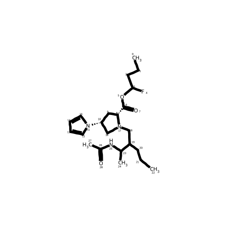 CCCC(F)OC(=O)[C@H]1C[C@@H](n2cccc2)CN1CC(CCC)C(C)NC(C)=O